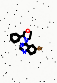 Brc1ccc2ncnc(N3CCOCC3c3ccccc3)c2c1